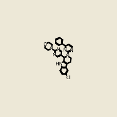 Clc1ccc2[nH]c3c(c2c1)CCN(c1nccc(-c2ccccc2)n1)C3c1cnc(N2CCOCC2)nc1